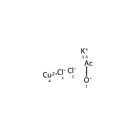 CC(=O)[O-].[Cl-].[Cl-].[Cu+2].[K+]